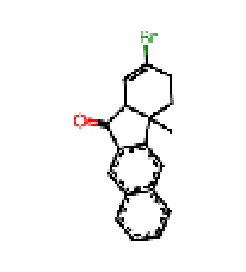 CC12CCC(Br)=CC1C(=O)c1cc3ccccc3cc12